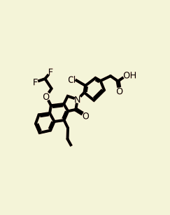 CCCc1c2c(c(OCC(F)F)c3ccccc13)CN(c1ccc(CC(=O)O)cc1Cl)C2=O